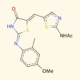 COc1ccc(N=C2NC(=O)C(=Cc3cnc(NC(C)=O)s3)S2)c(C)c1